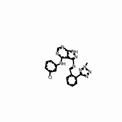 Cn1nnc(-c2ccccc2/C=N/c2n[nH]c3ncnc(Nc4cccc(Cl)c4)c23)n1